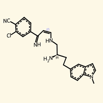 Cn1ccc2cc(CC[C@@H](N)CN/C=C\C(=N)c3ccc(C#N)c(Cl)c3)ccc21